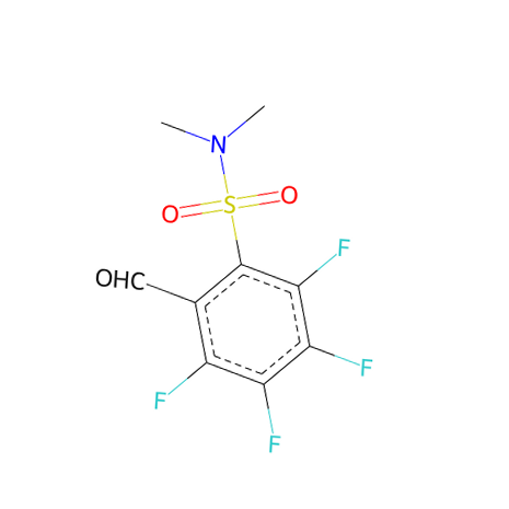 CN(C)S(=O)(=O)c1c(F)c(F)c(F)c(F)c1C=O